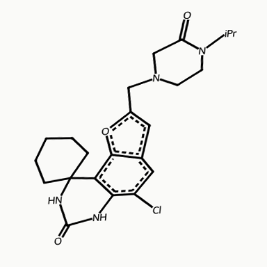 CC(C)N1CCN(Cc2cc3cc(Cl)c4c(c3o2)C2(CCCCC2)NC(=O)N4)CC1=O